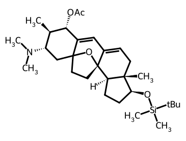 CC(=O)O[C@@H]1C2=CC3=CC[C@]4(C)[C@@H](O[Si](C)(C)C(C)(C)C)CC[C@H]4[C@@]34CCC2(C[C@H](N(C)C)[C@H]1C)O4